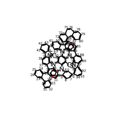 N#Cc1c(-n2c3ccccc3c3ccccc32)c(-n2c3cccc(-c4ccccc4-c4ccccc4)c3c3ccc4c5ccccc5sc4c32)c(C#N)c(-n2c3ccccc3c3ccccc32)c1-n1c2cc(-c3cccc4ccc5ccccc5c34)ccc2c2ccc3c4ccccc4sc3c21